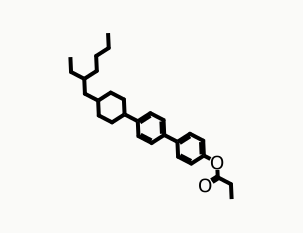 CCCCC(CC)CC1CCC(c2ccc(-c3ccc(OC(=O)CC)cc3)cc2)CC1